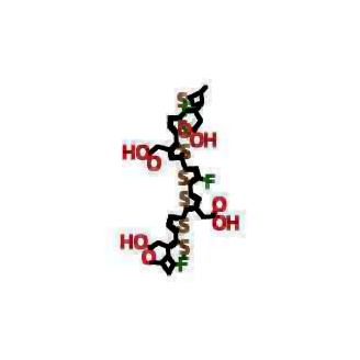 CS/C(=C(/CC(=O)O)C1C(C)CC1F)c1ccc(-c2sc(-c3sc(-c4cc(CC(=O)O)c(-c5ccc(C6=C(CC(=O)O)C7C(C)C(S6)C7F)s5)s4)cc3F)cc2CC(=O)O)s1